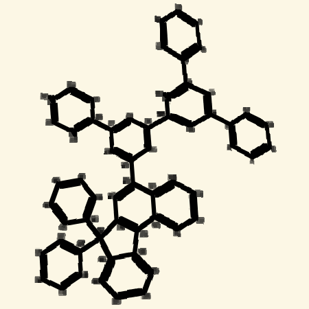 c1ccc(-c2cc(-c3ccccc3)nc(-c3cc(-c4ccncn4)cc(-c4cc5c(c6ccccc46)-c4ccccc4C5(c4ccccc4)c4ccccc4)c3)c2)cc1